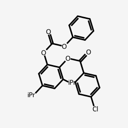 CC(C)c1cc(OC(=O)Oc2ccccc2)c(OC(=O)c2ccc(Cl)cc2)c(C(C)C)c1